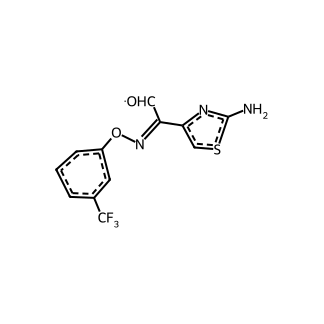 Nc1nc(/C([C]=O)=N/Oc2cccc(C(F)(F)F)c2)cs1